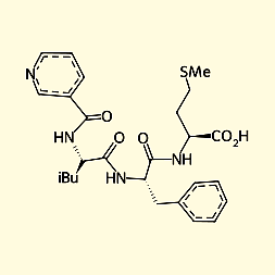 CC[C@H](C)[C@H](NC(=O)c1cccnc1)C(=O)N[C@@H](Cc1ccccc1)C(=O)N[C@@H](CCSC)C(=O)O